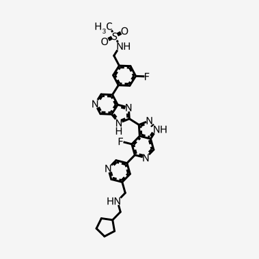 CS(=O)(=O)NCc1cc(F)cc(-c2cncc3[nH]c(-c4n[nH]c5cnc(-c6cncc(CNCC7CCCC7)c6)c(F)c45)nc23)c1